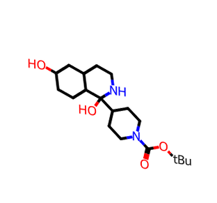 CC(C)(C)OC(=O)N1CCC(C2(O)NCCC3CC(O)CCC32)CC1